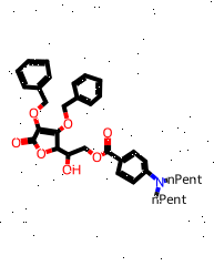 CCCCCN(CCCCC)c1ccc(C(=O)OCC(O)C2OC(=O)C(OCc3ccccc3)=C2OCc2ccccc2)cc1